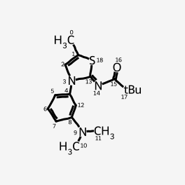 Cc1cn(-c2cccc(N(C)C)c2)c(=NC(=O)C(C)(C)C)s1